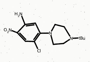 CC(C)(C)N1CCN(c2cc(N)c([N+](=O)[O-])cc2Cl)CC1